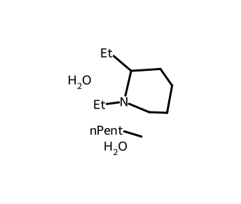 CCC1CCCCN1CC.CCCCCC.O.O